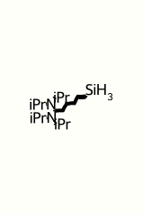 CC(C)N(C(C)C)C(CCCC=C[SiH3])N(C(C)C)C(C)C